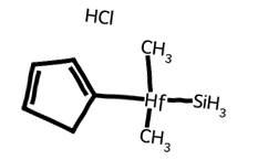 Cl.[CH3][Hf]([CH3])([SiH3])[C]1=CC=CC1